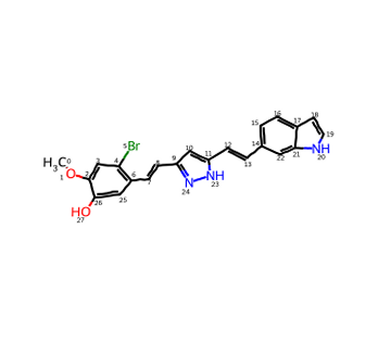 COc1cc(Br)c(/C=C/c2cc(/C=C/c3ccc4cc[nH]c4c3)[nH]n2)cc1O